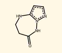 O=C1CCNc2ccnn2N1